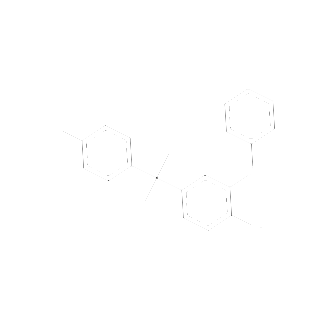 CC(C)(c1ccc(O)cc1)c1ccc(O)c(Oc2ccccc2)c1